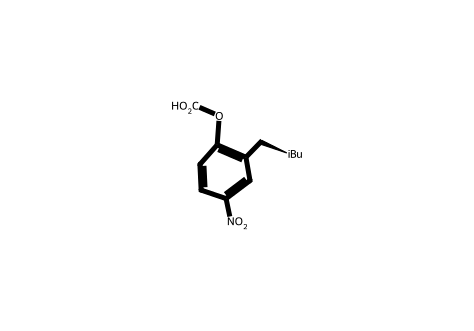 CC[C@H](C)Cc1cc([N+](=O)[O-])ccc1OC(=O)O